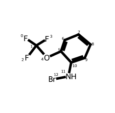 FC(F)(F)Oc1ccccc1NBr